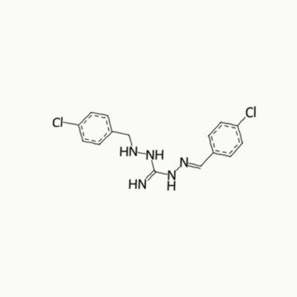 N=C(NN=Cc1ccc(Cl)cc1)NNCc1ccc(Cl)cc1